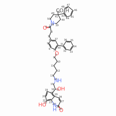 O=C(CCc1ccc(OCCCCCNCC(O)c2ccc(O)c3[nH]c(=O)ccc23)c(-c2ccccc2)c1)N1CCC(C(=O)O)(c2ccccc2)CC1